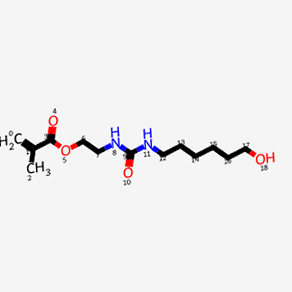 C=C(C)C(=O)OCCNC(=O)NCCCCCCO